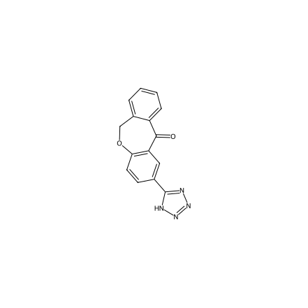 O=C1c2ccccc2COc2ccc(-c3nnn[nH]3)cc21